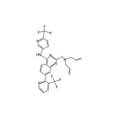 C=CCN(CC=C)Cc1nc(Nc2ccc(C(F)(F)F)nc2)c2ccc(-c3ncccc3C(F)(F)F)cc2n1